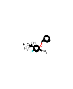 Cc1cc(F)c(C(C)(C)C)cc1OCc1ccccc1